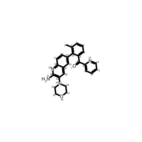 Cc1cccc(C(=O)c2ccccn2)c1-c1ccc2nc(N)c(N3CCOCC3)cc2c1